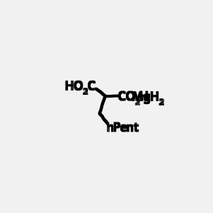 CCCCCCC(C(=O)O)C(=O)O.[MgH2]